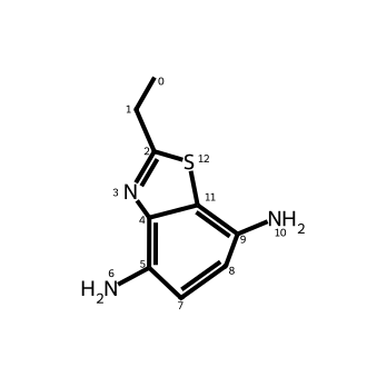 CCc1nc2c(N)ccc(N)c2s1